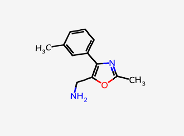 Cc1cccc(-c2nc(C)oc2CN)c1